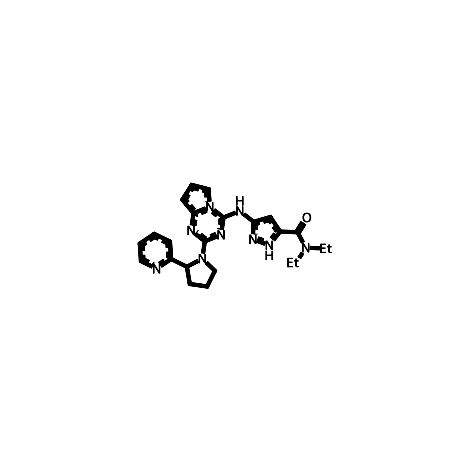 CCN(CC)C(=O)c1cc(Nc2nc(N3CCCC3c3ccccn3)nc3cccn23)n[nH]1